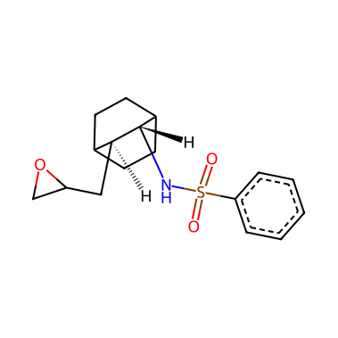 O=S(=O)(N[C@H]1C2CCC(CC2)[C@@H]1CC1CO1)c1ccccc1